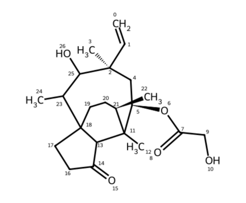 C=C[C@@]1(C)C[C@@H](OC(=O)CO)C2(C)C3C(=O)CCC3(CC[C@H]2C)C(C)C1O